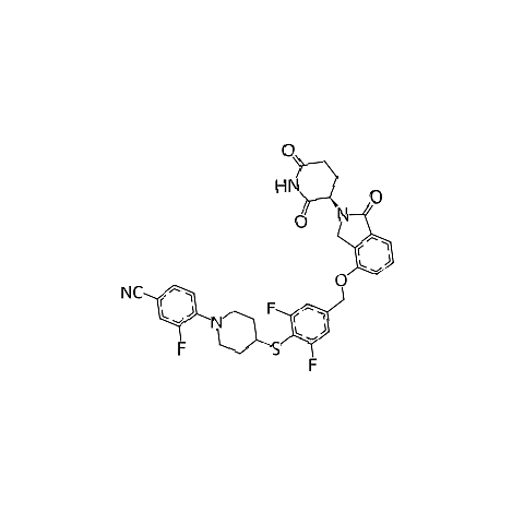 N#Cc1ccc(N2CCC(Sc3c(F)cc(COc4cccc5c4CN([C@@H]4CCC(=O)NC4=O)C5=O)cc3F)CC2)c(F)c1